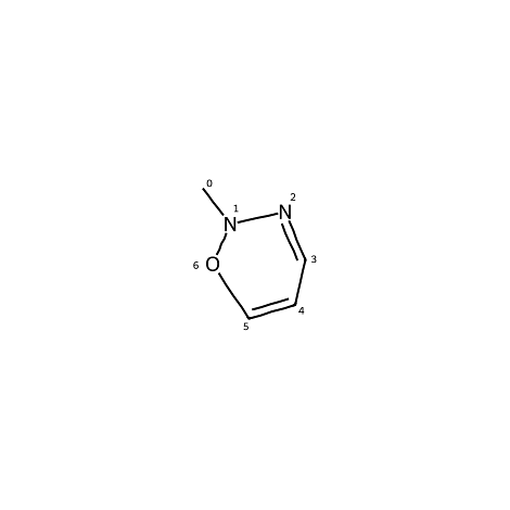 CN1N=CC=CO1